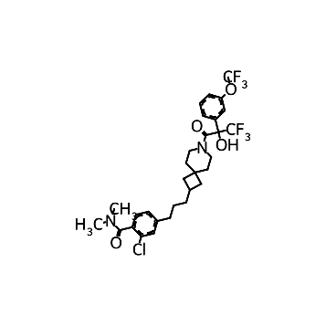 CN(C)C(=O)c1ccc(CCCC2CC3(CCN(C(=O)C(O)(c4cccc(OC(F)(F)F)c4)C(F)(F)F)CC3)C2)cc1Cl